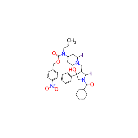 C=CCN(C(=O)OCc1ccc([N+](=O)[O-])cc1)C1CCN(CC2C(I)N(C(=O)C3CCCCC3)CC2(O)c2ccccc2)C(I)C1